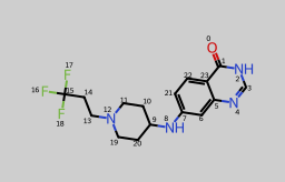 O=c1[nH]cnc2cc(NC3CCN(CCC(F)(F)F)CC3)ccc12